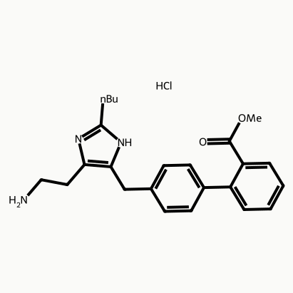 CCCCc1nc(CCN)c(Cc2ccc(-c3ccccc3C(=O)OC)cc2)[nH]1.Cl